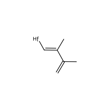 C=C(C)C(C)=[CH][Hf]